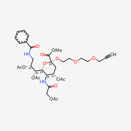 C#CCOCCOCCO[C@]1(C(=O)OC)C[C@H](OC(C)=O)[C@@H](NC(=O)COC(C)=O)[C@H]([C@H](OC(C)=O)[C@@H](CNC(=O)c2ccccc2)OC(C)=O)O1